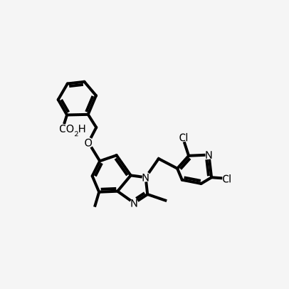 Cc1cc(OCc2ccccc2C(=O)O)cc2c1nc(C)n2Cc1ccc(Cl)nc1Cl